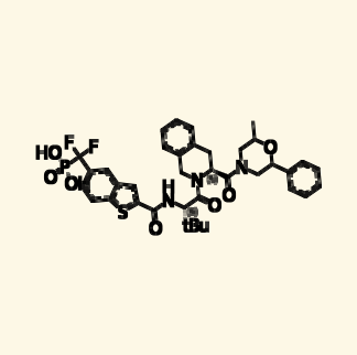 CC1CN(C(=O)[C@@H]2Cc3ccccc3CN2C(=O)[C@@H](NC(=O)c2cc3cc(C(F)(F)P(=O)(O)O)ccc3s2)C(C)(C)C)CC(c2ccccc2)O1